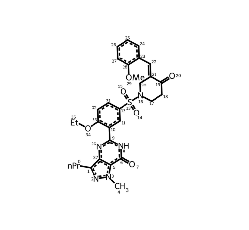 CCCc1nn(C)c2c(=O)[nH]c(-c3cc(S(=O)(=O)N4CCC(=O)/C(=C/c5ccccc5OC)C4)ccc3OCC)nc12